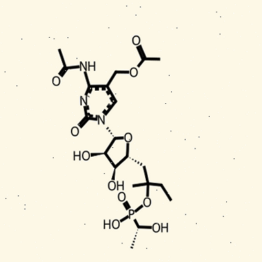 CCC(C)(C[C@H]1O[C@@H](n2cc(COC(C)=O)c(NC(C)=O)nc2=O)[C@H](O)[C@@H]1O)OP(=O)(O)[C@@H](C)O